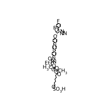 CC[C@@H]([C@H](C)OC(=O)OC(C)OC(=O)CCCCCCOS(=O)(=O)O)n1ncn(-c2ccc(N3CCN(c4ccc(OC[C@@H]5CO[C@@](Cn6cncn6)(c6ccc(F)cc6F)C5)cc4)CC3)cc2)c1=O